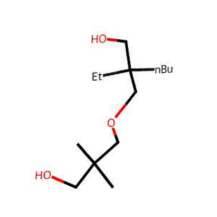 CCCCC(CC)(CO)COCC(C)(C)CO